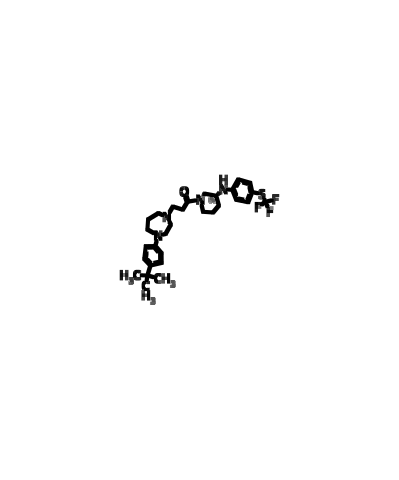 CC(C)(C)c1ccc(N2CCCN(CCC(=O)N3CCC[C@H](Nc4ccc(SC(F)(F)F)cc4)C3)CC2)cc1